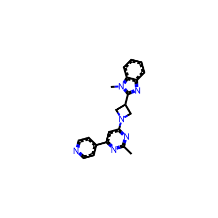 Cc1nc(-c2ccncc2)cc(N2CC(c3nc4ccccc4n3C)C2)n1